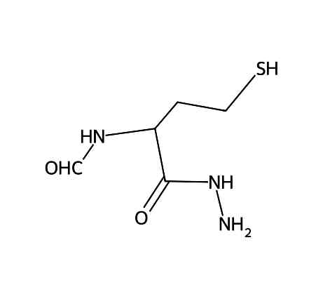 NNC(=O)C(CCS)NC=O